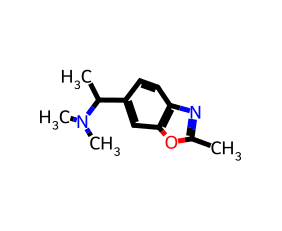 Cc1nc2ccc(C(C)N(C)C)cc2o1